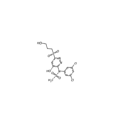 CS(=O)(=O)N(c1cc(Cl)cc(Cl)c1)c1nnc(S(=O)(=O)CCCO)cc1O